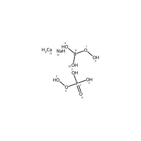 O=P(O)(O)OO.OOB(O)O.[CaH2].[NaH]